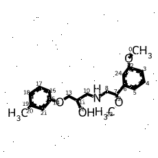 COc1cccc(C(CNCC(O)COc2cccc(C)c2)OC)c1